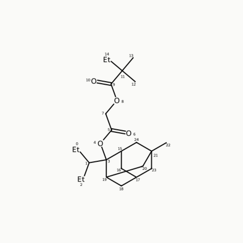 CCC(CC)C1(OC(=O)COC(=O)C(C)(C)CC)C2CC3CC1CC(C)(C3)C2